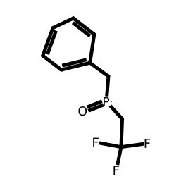 O=[P](Cc1ccccc1)CC(F)(F)F